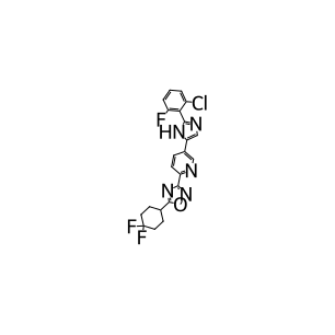 Fc1cccc(Cl)c1-c1ncc(-c2ccc(-c3noc(C4CCC(F)(F)CC4)n3)nc2)[nH]1